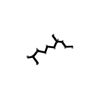 CCCN(C)CCCOC(C)C